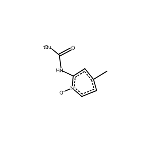 Cc1cc[n+]([O-])c(NC(=O)C(C)(C)C)c1